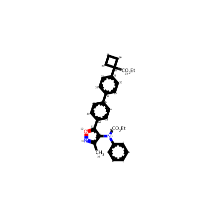 CCOC(=O)N(c1ccccc1)c1c(C)noc1-c1ccc(-c2ccc(C3(C(=O)OCC)CCC3)cc2)cc1